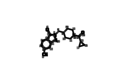 N#Cc1ccc2c(=O)n(CC3CCN(C(=O)C4CC4)CC3)sc2c1